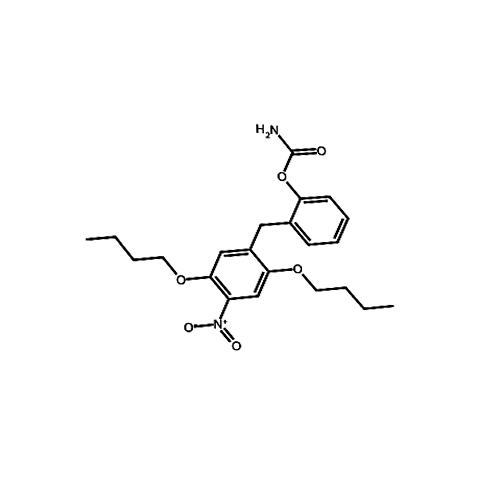 CCCCOc1cc([N+](=O)[O-])c(OCCCC)cc1Cc1ccccc1OC(N)=O